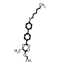 CCCCCCSc1ccc(-c2ccc(C(=O)O[C@@H](C)C(=O)OCC)cc2)cc1